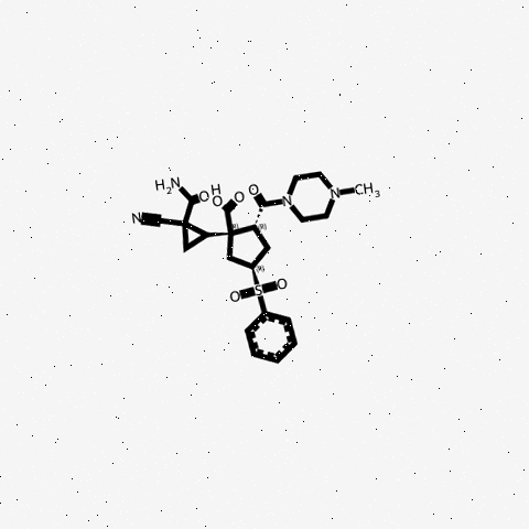 CN1CCN(C(=O)[C@@H]2C[C@@H](S(=O)(=O)c3ccccc3)C[C@@]2(C(=O)O)C2CC2(C#N)C(N)=O)CC1